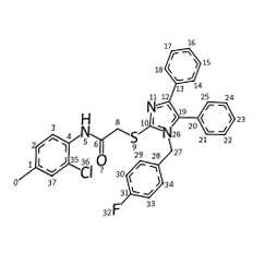 Cc1ccc(NC(=O)CSc2nc(-c3ccccc3)c(-c3ccccc3)n2Cc2ccc(F)cc2)c(Cl)c1